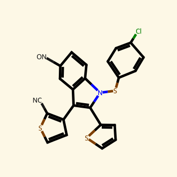 N#Cc1sccc1-c1c(-c2cccs2)n(Sc2ccc(Cl)cc2)c2ccc(N=O)cc12